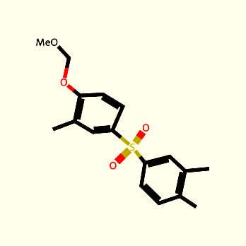 COCOc1ccc(S(=O)(=O)c2ccc(C)c(C)c2)cc1C